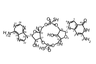 Nc1nc2c(cnn2[C@@H]2O[C@@H]3COP(=O)(S)OC4C(O)[C@H](n5cnc6c(N)ncnc65)O[C@@H]4COP(=O)(S)OC2C3O)c(=O)[nH]1